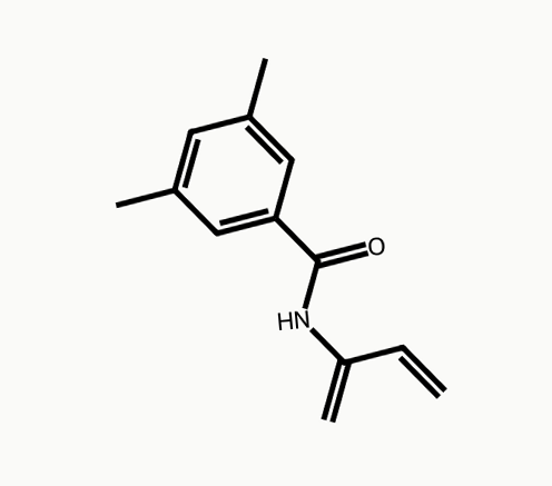 C=CC(=C)NC(=O)c1cc(C)cc(C)c1